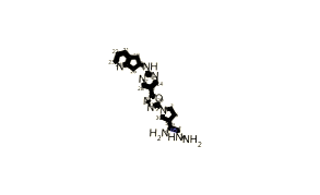 NN/C=C(\N)C1CCN(c2nnc(-c3cnc(NC4Cc5cccnc5C4)nc3)o2)C1